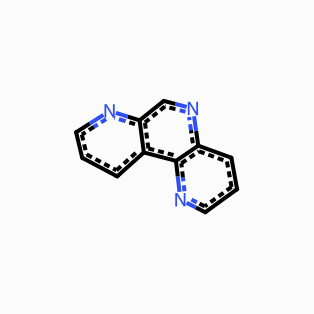 c1cnc2c(c1)ncc1ncccc12